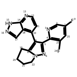 Fc1cnc(-c2nn3c(c2-c2ccnc4[nH]ncc24)CCCC3)c(F)c1